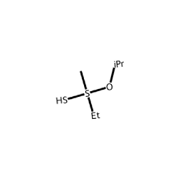 CCS(C)(S)OC(C)C